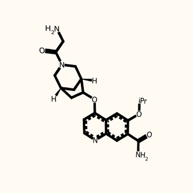 CC(C)Oc1cc2c(OC3C[C@H]4C[C@@H]3CN(C(=O)CN)C4)ccnc2cc1C(N)=O